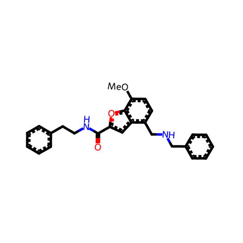 COc1ccc(CNCc2ccccc2)c2cc(C(=O)NCCc3ccccc3)oc12